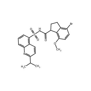 COc1ccc(Br)c2c1C(C(=O)NS(=O)(=O)c1cccc3nc(C(C)C)ccc13)CC2